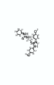 COc1ccc(N2CCN(c3ccc(OC)cc3)P2SCCNC(=S)Nc2ccccc2)cc1